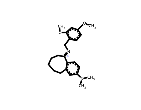 COc1ccc(C/N=C2\CCCCCc3cc(N(C)C)ccc32)c(OC)c1